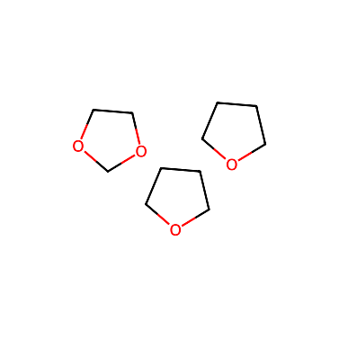 C1CCOC1.C1CCOC1.C1COCO1